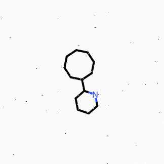 C1CCCC(C2CCCC[N]2)CCC1